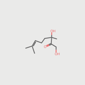 CC(C)=CCCC(C)(O)C(=O)CO